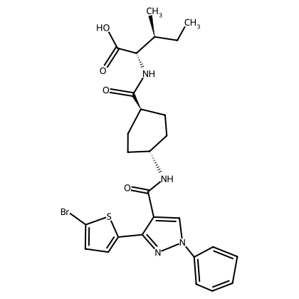 CC[C@H](C)[C@H](NC(=O)[C@H]1CC[C@H](NC(=O)c2cn(-c3ccccc3)nc2-c2ccc(Br)s2)CC1)C(=O)O